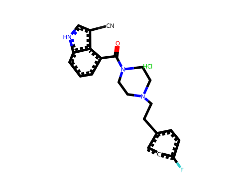 Cl.N#Cc1c[nH]c2cccc(C(=O)N3CCN(CCc4ccc(F)cc4)CC3)c12